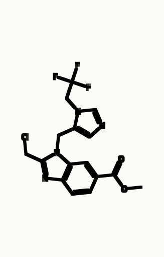 COC(=O)c1ccc2nc(CCl)n(Cc3cncn3CC(F)(F)F)c2c1